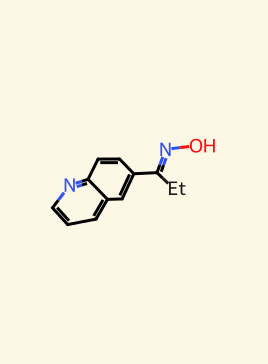 CCC(=NO)c1ccc2ncccc2c1